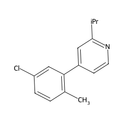 Cc1ccc(Cl)cc1-c1ccnc(C(C)C)c1